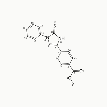 COC(=O)C1=CCC(c2cn(-c3ccccc3)c(=S)[nH]2)C=C1